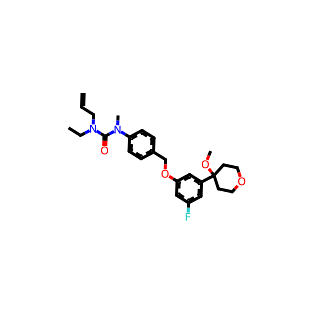 C=CCN(CC)C(=O)N(C)c1ccc(COc2cc(F)cc(C3(OC)CCOCC3)c2)cc1